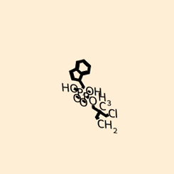 C=CC(C)(CCl)COP(=O)(O)P(=O)(O)CC1C=Cc2ccccc21